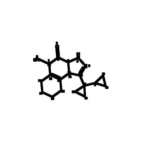 CCCN1C(=O)C2NN=C(C3(C4CC4)CC3)N2C2=C1CCCC2